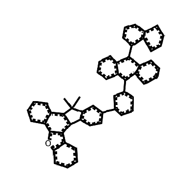 CC1(C)c2cc(-c3cccc(-c4c5ccccc5c(-c5cccc6ccccc56)c5ccccc45)c3)ccc2-c2c1c1ccccc1c1oc3ccccc3c21